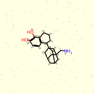 NCC12CC3CC(C1)CC(C1CCCc4c1ccc(O)c4O)(C3)C2